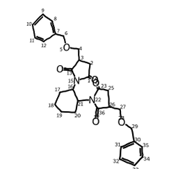 O=C1CC(COCc2ccccc2)C(=O)N1C1CCCCC1N1C(=O)CC(COCc2ccccc2)C1=O